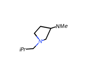 CNC1CCN(CC(C)C)C1